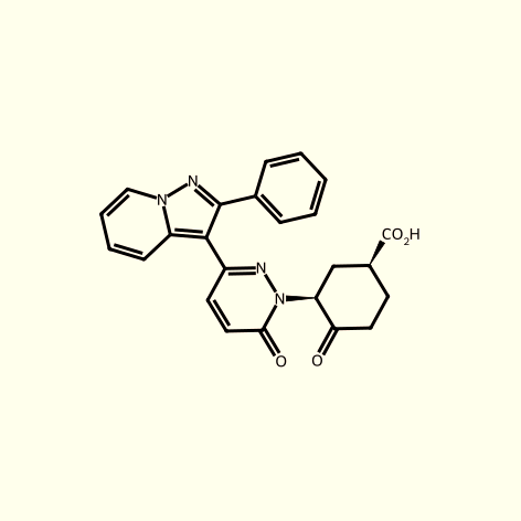 O=C(O)[C@H]1CCC(=O)[C@@H](n2nc(-c3c(-c4ccccc4)nn4ccccc34)ccc2=O)C1